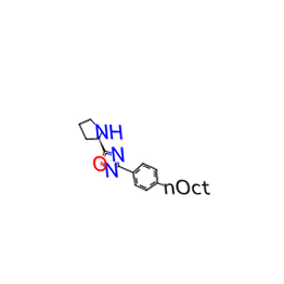 CCCCCCCCc1ccc(-c2noc([C@H]3CCCN3)n2)cc1